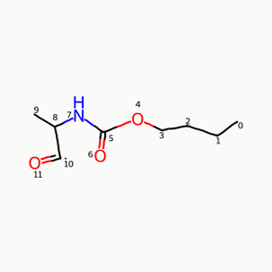 CCCCOC(=O)NC(C)[C]=O